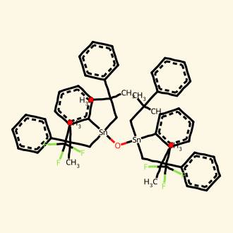 CC(C)([CH2][Sn]([CH2]C(C)(C)c1ccccc1)([O][Sn]([CH2]C(C)(C)c1ccccc1)([CH2]C(C)(C)c1ccccc1)[c]1ccccc1C(F)(F)F)[c]1ccccc1C(F)(F)F)c1ccccc1